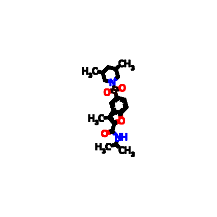 Cc1c(C(=O)NC(C)C)oc2ccc(S(=O)(=O)N3CC(C)CC(C)C3)cc12